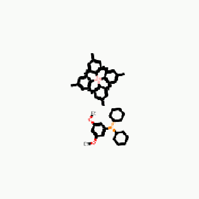 CCOc1cc(OCC)cc([PH+](C2CCCCC2)C2CCCCC2)c1.Cc1cc(C)c([B-](c2c(C)cc(C)cc2C)(c2c(C)cc(C)cc2C)c2c(C)cc(C)cc2C)c(C)c1